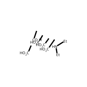 CC(=O)O.CC(=O)O.CC(=O)O.CC(=O)O.CC(=O)O.CCNCC